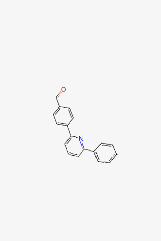 O=Cc1ccc(-c2cccc(-c3ccccc3)n2)cc1